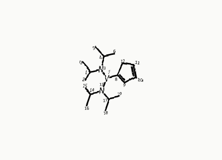 CC(C)[N](C(C)C)[V]([C]1=CC=CC1)[N](C(C)C)C(C)C